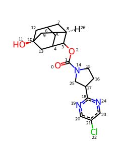 O=C(OC1C2CC3C[C@@H]1C[C@@](O)(C3)C2)N1CCC(c2ncc(Cl)cn2)C1